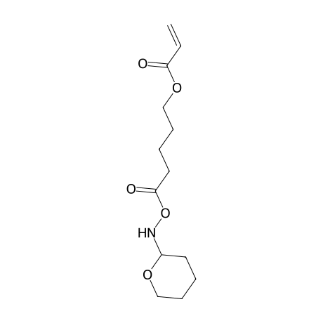 C=CC(=O)OCCCCC(=O)ONC1CCCCO1